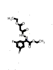 CCOC(=O)CC(=O)N/N=C(/C(=O)OCC)c1cc(F)cc(F)c1